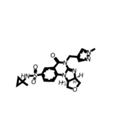 Cn1cc(CN2C(=O)c3cc(S(=O)(=O)NC4(C)CC4)ccc3N3C2=N[C@H]2COC[C@H]23)cn1